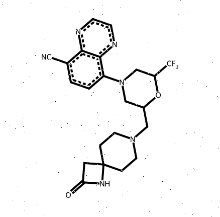 N#Cc1ccc(N2CC(CN3CCC4(CC3)CC(=O)N4)OC(C(F)(F)F)C2)c2nccnc12